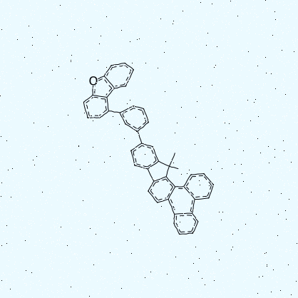 CC1(C)c2cc(-c3cccc(-c4cccc5oc6ccccc6c45)c3)ccc2-c2ccc3c4ccccc4c4ccccc4c3c21